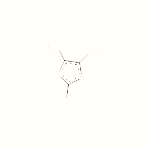 Cc1oc(Cl)nc1C(C)(C)C